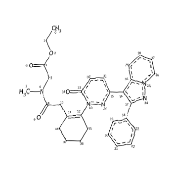 CCOC(=O)CN(C)C(=O)CC1=C(n2nc(-c3c(-c4ccccc4)nn4ccccc34)ccc2=O)CCCC1